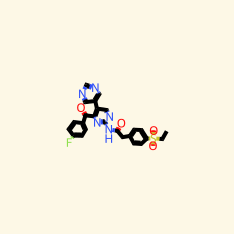 CCS(=O)(=O)c1ccc(CC(=O)Nc2ncc(-c3cncnc3)c(C(=O)c3ccc(F)cc3)n2)cc1